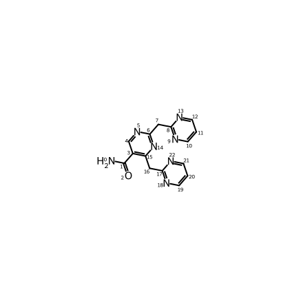 NC(=O)c1cnc(Cc2ncccn2)nc1Cc1ncccn1